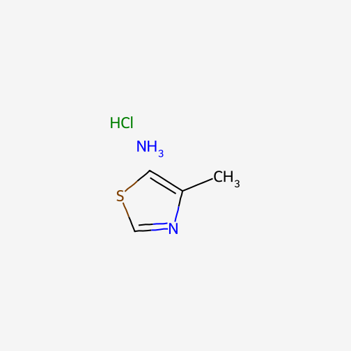 Cc1cscn1.Cl.N